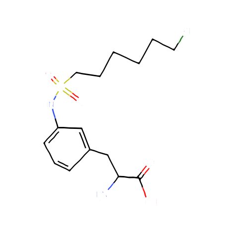 NC(Cc1cccc(NS(=O)(=O)CCCCCCCl)c1)C(=O)O